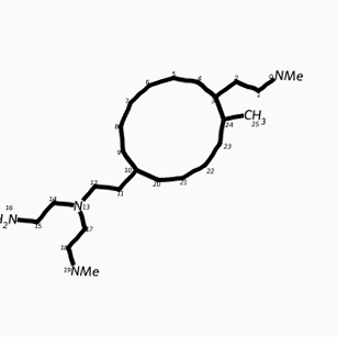 CNCCC1CCCCCCC(CCN(CCN)CCNC)CCCCC1C